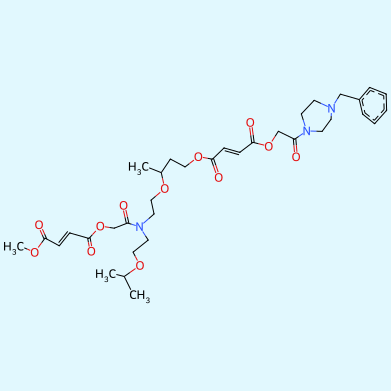 COC(=O)/C=C/C(=O)OCC(=O)N(CCOC(C)C)CCOC(C)CCOC(=O)/C=C/C(=O)OCC(=O)N1CCN(Cc2ccccc2)CC1